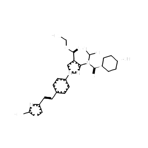 CCOC(=O)c1cn(-c2ccc(C=Cc3csc(C)n3)cc2)nc1N(C(=O)[C@H]1CC[C@H](C)CC1)C(C)C